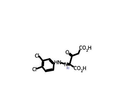 O=C(O)CC(=O)/C(=N\Nc1ccc(Cl)c(Cl)c1)C(=O)O